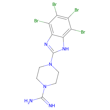 N=C(N)N1CCN(c2nc3c(Br)c(Br)c(Br)c(Br)c3[nH]2)CC1